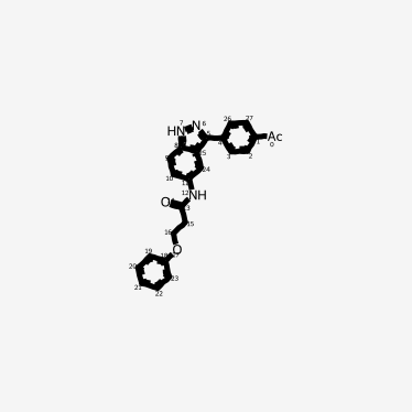 CC(=O)c1ccc(-c2n[nH]c3ccc(NC(=O)CCOc4ccccc4)cc23)cc1